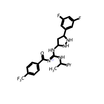 CC(C)C(C)N/C(=N/C(=O)c1ccc(C(F)(F)F)cc1)NC1CC(c2cc(F)cc(F)c2)NN1